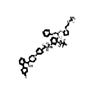 NC(=O)OCCN1CCC[C@H]1C[C@H](CSc1ccccc1)Nc1ccc(S(=O)(=O)NC(=O)c2ccc(N3CCC([C@@H](O)c4ccccc4-c4ccc(Cl)cc4)CC3)cc2)cc1S(=O)(=O)C(F)(F)F